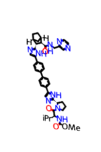 COC(=O)N[C@H](C(=O)N1CCC[C@H]1c1ncc(-c2ccc(-c3ccc(-c4cnc([C@@H]5[C@H]6CC[C@H](C6)[C@H]5C(=O)NCc5cnccn5)[nH]4)cc3)cc2)[nH]1)C(C)C